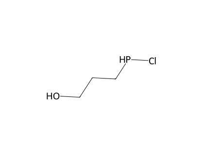 OCCCPCl